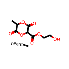 CC1OC(=O)C(C(=O)OCCO)OC1=O.CCCCCC